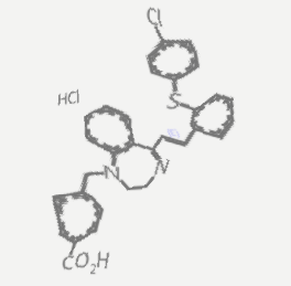 Cl.O=C(O)c1ccc(CN2CCN=C(/C=C/c3ccccc3Sc3ccc(Cl)cc3)c3ccccc32)cc1